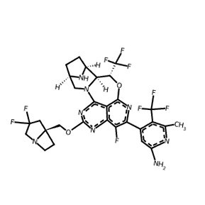 Cc1nc(N)cc(-c2nc3c4c(nc(OC[C@@]56CCN5CC(F)(F)C6)nc4c2F)N2C[C@H]4CC[C@H](N4)[C@H]2[C@H](C(F)(F)F)O3)c1C(F)(F)F